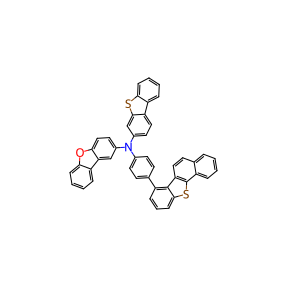 c1ccc2c(c1)ccc1c2sc2cccc(-c3ccc(N(c4ccc5c(c4)sc4ccccc45)c4ccc5oc6ccccc6c5c4)cc3)c21